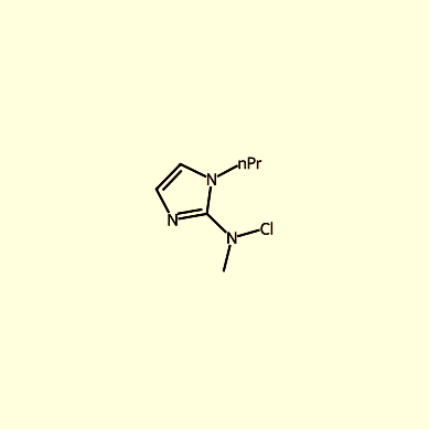 CCCn1ccnc1N(C)Cl